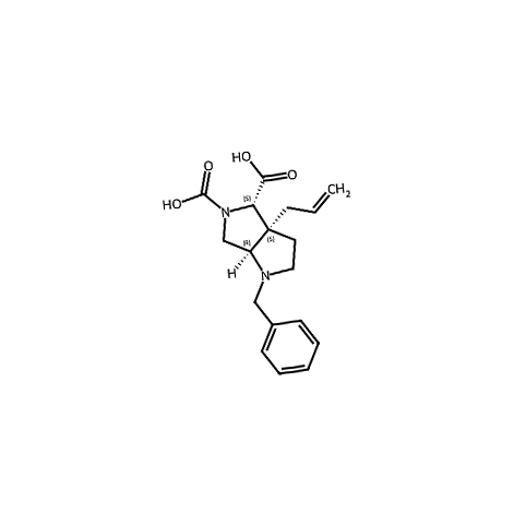 C=CC[C@]12CCN(Cc3ccccc3)[C@H]1CN(C(=O)O)[C@@H]2C(=O)O